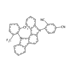 N#Cc1ccc(-n2c3ccccc3c3c2ccc2c4ccccc4n(-c4c(C(F)(F)F)cccc4C(F)(F)F)c23)c(C#N)c1